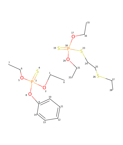 CCOP(=S)(OCC)Oc1ccccc1.CCOP(=S)(OCC)SCCSCC